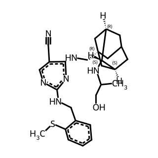 CSc1ccccc1CNc1ncc(C#N)c(NC[C@@]23CC4C[C@H](C2)[C@@H](NC(C)CO)[C@@H](C4)C3)n1